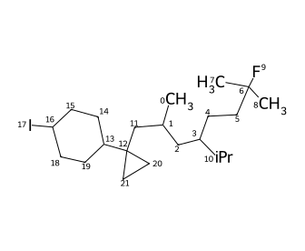 CC(CC(CCC(C)(C)F)C(C)C)CC1(C2CCC(I)CC2)CC1